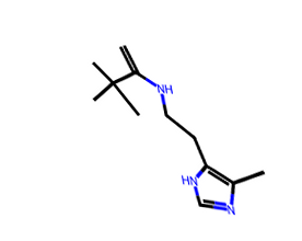 C=C(NCCc1[nH]cnc1C)C(C)(C)C